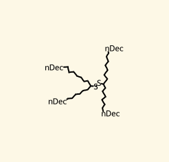 CCCCCCCCCCCCCCCCCC(CCCCCCCCCCCCCCCC)SSC(CCCCCCCCCCCCCCCC)CCCCCCCCCCCCCCCCC